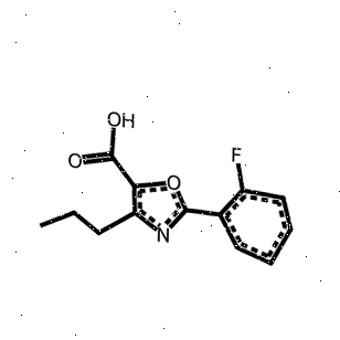 CCCc1nc(-c2ccccc2F)oc1C(=O)O